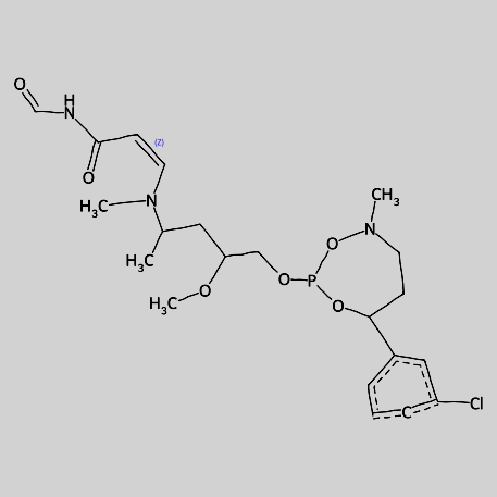 COC(COP1OC(c2cccc(Cl)c2)CCN(C)O1)CC(C)N(C)/C=C\C(=O)NC=O